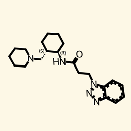 O=C(CCn1nnc2ccccc21)N[C@@H]1CCCC[C@H]1CN1CCCCC1